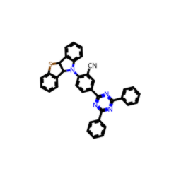 N#Cc1cc(-c2nc(-c3ccccc3)nc(-c3ccccc3)n2)ccc1N1c2ccccc2C2Sc3ccccc3C21